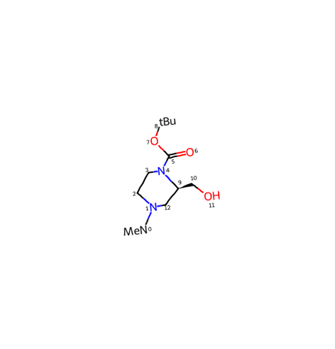 CNN1CCN(C(=O)OC(C)(C)C)[C@@H](CO)C1